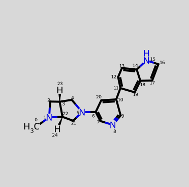 CN1C[C@@H]2CN(c3cncc(-c4ccc5[nH]ccc5c4)c3)C[C@@H]21